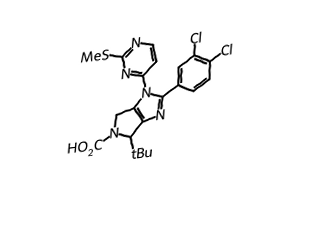 CSc1nccc(-n2c(-c3ccc(Cl)c(Cl)c3)nc3c2CN(C(=O)O)C3C(C)(C)C)n1